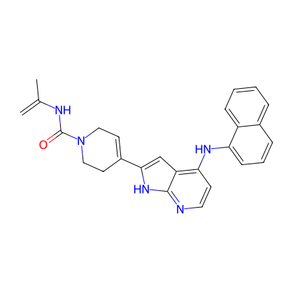 C=C(C)NC(=O)N1CC=C(c2cc3c(Nc4cccc5ccccc45)ccnc3[nH]2)CC1